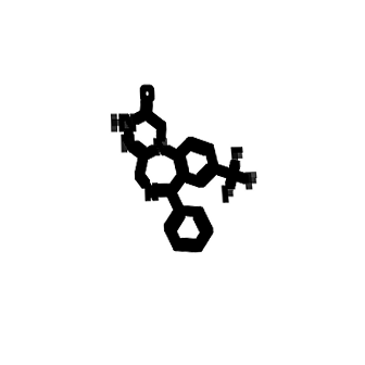 O=C1CN2C(=NN1)CN=C(c1ccccc1)c1cc(C(F)(F)F)ccc12